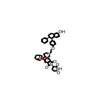 O=C1CCC(N2C(=O)c3ccc(N4CC5CCC(C4)N5CC4CCN(CCOc5ccc([C@@H]6c7ccc(O)cc7CC[C@@H]6c6ccccc6)cc5)CC4)cc3C2=O)C(=O)N1